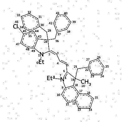 CCN1C(=CC=CC2=[N+](CC)c3ccc4ccccc4c3C2(C)Cc2ccccc2)C(Cc2ccccc2)(Cc2ccccc2)c2cc(Cl)ccc21